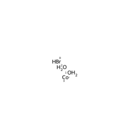 Br.O.O.[Co]